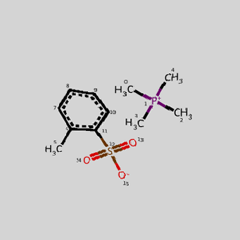 C[P+](C)(C)C.Cc1ccccc1S(=O)(=O)[O-]